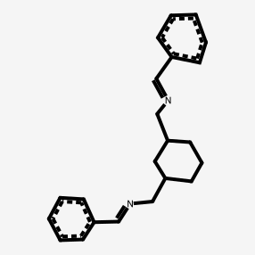 C(=NCC1CCCC(CN=Cc2ccccc2)C1)c1ccccc1